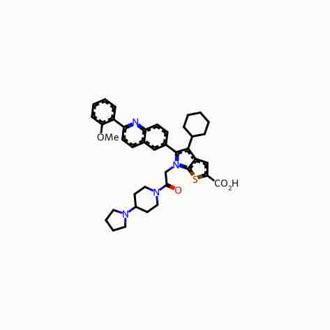 COc1ccccc1-c1ccc2cc(-c3c(C4CCCCC4)c4cc(C(=O)O)sc4n3CC(=O)N3CCC(N4CCCC4)CC3)ccc2n1